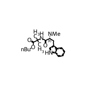 CCCCOC(=O)C(C)(C)NC(=O)[C@@H](Cc1c[nH]c2ccccc12)NC